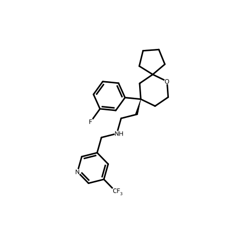 Fc1cccc([C@@]2(CCNCc3cncc(C(F)(F)F)c3)CCOC3(CCCC3)C2)c1